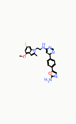 COc1cc(F)cc2c1cc(C)n2CCNc1cc(-c2ccc(-c3cnc(N)o3)cc2)ncn1